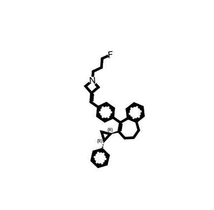 FCCCN1CC(=Cc2ccc(C3=C([C@@H]4C[C@H]4c4ccccc4)CCCc4ccccc43)cc2)C1